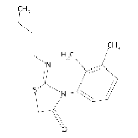 CCCCN=C1SCC(=O)N1c1cccc(C)c1C